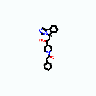 O=C(Cc1ccccc1)N1CCC(C(O)C[C@@H]2c3ccccc3-c3cncn32)CC1